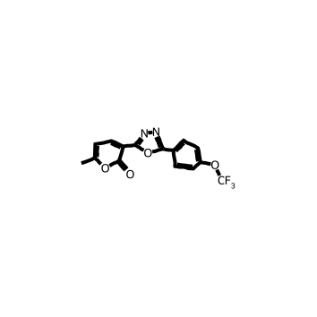 Cc1ccc(-c2nnc(-c3ccc(OC(F)(F)F)cc3)o2)c(=O)o1